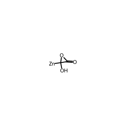 O=C1O[C]1(O)[Zn]